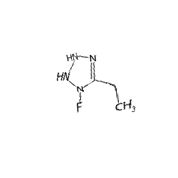 CCC1=NNNN1F